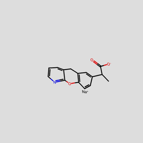 CC(C(=O)[O-])c1ccc2c(c1)Cc1cccnc1O2.[Na+]